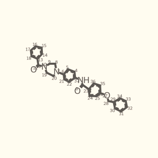 O=C(Nc1ccc(N2CCN(C(=O)c3ccccc3)CC2)cc1)c1ccc(OCc2ccccc2)cc1